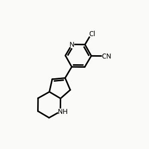 N#Cc1cc(C2=CC3CCCNC3C2)cnc1Cl